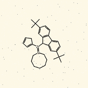 CC(C)(C)c1ccc2c(c1)[CH]([Zr]([C]1=CC=CC1)=[Si]1CCCCCCC1)c1cc(C(C)(C)C)ccc1-2